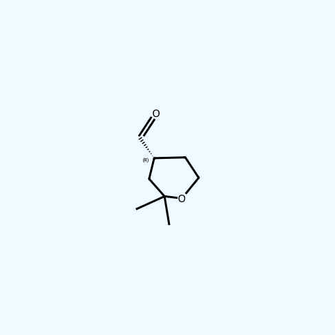 CC1(C)C[C@H](C=O)CCO1